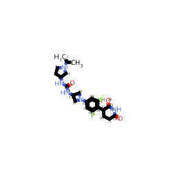 CC(C)N1CCC(NC(=O)NC2CN(c3cc(F)c(C4CCC(=O)NC4=O)c(F)c3)C2)C1